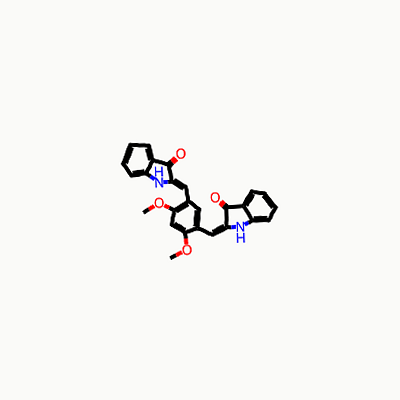 COc1cc(OC)c(C=C2Nc3ccccc3C2=O)cc1C=C1Nc2ccccc2C1=O